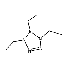 CCB1N(CC)N=NN1CC